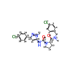 CN(Cc1ccc(Cl)cc1)C(=O)[C@H]1CCCN1C(=O)Nc1cc(-c2ccc(Cl)cc2)nn1C